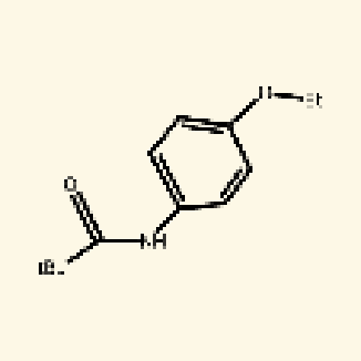 CCOc1ccc(NC(=O)C(C)(C)C)cc1